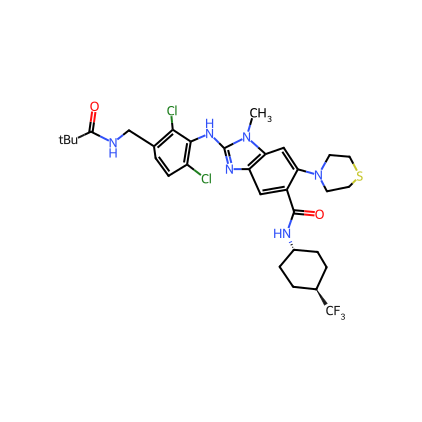 Cn1c(Nc2c(Cl)ccc(CNC(=O)C(C)(C)C)c2Cl)nc2cc(C(=O)N[C@H]3CC[C@H](C(F)(F)F)CC3)c(N3CCSCC3)cc21